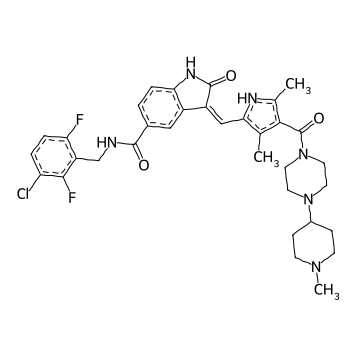 Cc1[nH]c(C=C2C(=O)Nc3ccc(C(=O)NCc4c(F)ccc(Cl)c4F)cc32)c(C)c1C(=O)N1CCN(C2CCN(C)CC2)CC1